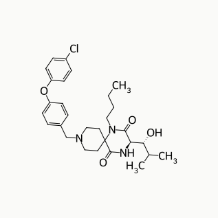 CCCCN1C(=O)[C@@H]([C@H](O)C(C)C)NC(=O)C12CCN(Cc1ccc(Oc3ccc(Cl)cc3)cc1)CC2